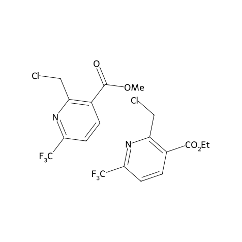 CCOC(=O)c1ccc(C(F)(F)F)nc1CCl.COC(=O)c1ccc(C(F)(F)F)nc1CCl